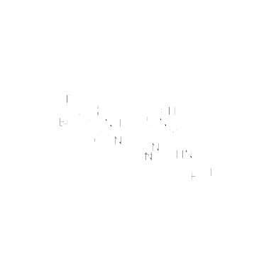 CN1OC(CNCC(F)F)Cn2nc3c(c2C1=O)CN(C(=O)Nc1ccc(F)c(Br)c1)CC3